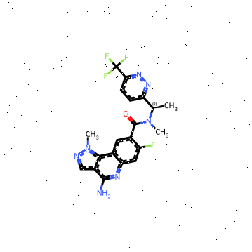 C[C@H](c1ccc(C(F)(F)F)nn1)N(C)C(=O)c1cc2c(cc1F)nc(N)c1cnn(C)c12